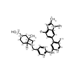 Cc1nc2c(F)cc(-c3cc(Nc4ncc(CN5C[C@@]6(C)CN(C(=O)O)CC[C@@H]56)cn4)ncc3F)cc2n1C(C)C